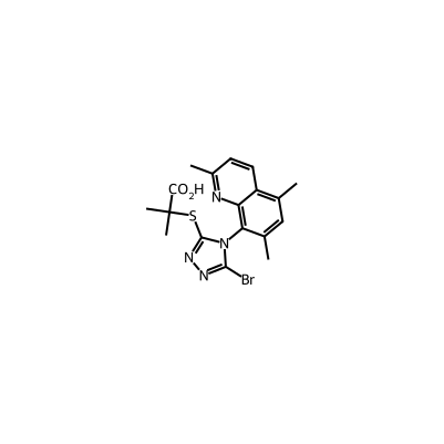 Cc1ccc2c(C)cc(C)c(-n3c(Br)nnc3SC(C)(C)C(=O)O)c2n1